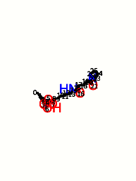 CC#COP(=O)(O)OCCCCCCNC(=O)CCCC(=O)N1CCCC1